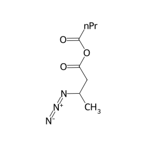 CCCC(=O)OC(=O)CC(C)N=[N+]=[N-]